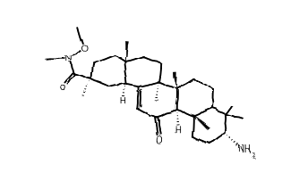 CON(C)C(=O)[C@@]1(C)CC[C@]2(C)CC[C@]3(C)C(=CC(=O)[C@@H]4[C@@]5(C)CC[C@@H](N)C(C)(C)C5CC[C@]43C)[C@H]2C1